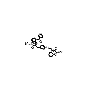 COC(=O)C(Cc1ccc(OCCN(C(=O)CC(C)C)c2ccccc2Cl)cc1)Nc1ccccc1C(=O)c1ccccc1